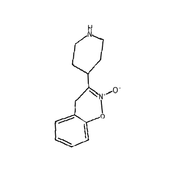 [O-][N+]1=C(C2CCNCC2)Cc2ccccc2O1